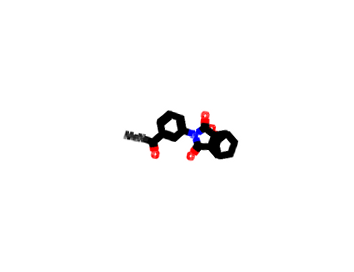 CNC(=O)c1cccc(N2C(=O)C3C4CCC(C(=O)C4)C3C2=O)c1